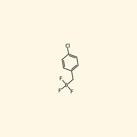 F[B-](F)(F)Cc1ccc(Cl)cc1